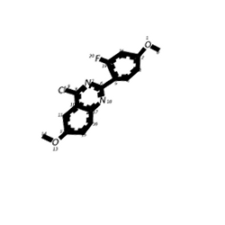 COc1ccc(-c2nc(Cl)c3cc(OC)ccc3n2)c(F)c1